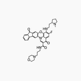 CN1CCCC1CCNc1c(F)cc2c(=O)c(C(=O)NCCCN3CCOCC3)cn3c4cc5c(cc4oc1c23)c(=O)c1ccccc15